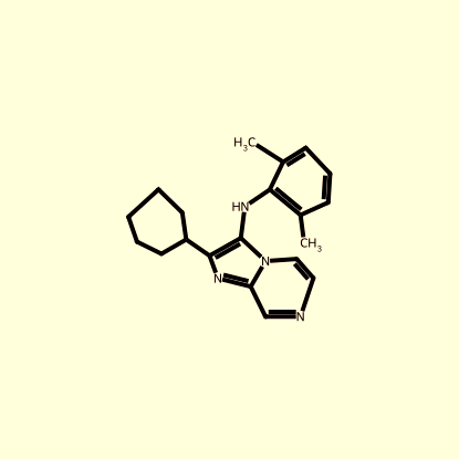 Cc1cccc(C)c1Nc1c(C2CCCCC2)nc2cnccn12